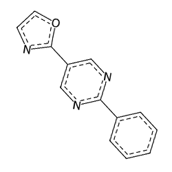 c1ccc(-c2ncc(-c3ncco3)cn2)cc1